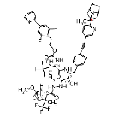 CCN1C2CCC1CN(c1ccc(C#Cc3ccc(C[C@H](NC(=O)[C@@H](NC(=O)OCCc4c(F)cc(-c5ccccn5)cc4F)C(C)(C)C(F)(F)F)[C@@H](O)CNNC(=O)[C@@H](NC(=O)OC)C(C)(C)C(F)(F)F)cc3)cn1)C2